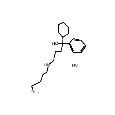 Cl.NCCCCNCCCC(O)(c1ccccc1)C1CCCCC1